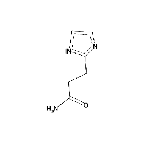 NC(=O)CCc1ncc[nH]1